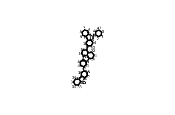 c1ccc(-n2c3ccccc3c3cc(-c4ccc5c6c(cccc46)-c4cc(-c6ccc7sc8ccccc8c7c6)ccc4-5)ccc32)cc1